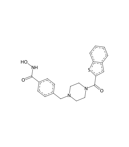 O=C(NO)c1ccc(CN2CCN(C(=O)c3cc4ccccc4s3)CC2)cc1